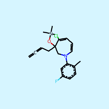 C=C=CCC1(O[Si](C)(C)C)CN(c2cc(F)ccc2C)C=CC=C1Cl